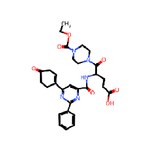 CCOC(=O)N1CCN(C(=O)C(CCC(=O)O)NC(=O)c2cc(C3=CCC(=O)CC3)nc(-c3ccccc3)n2)CC1